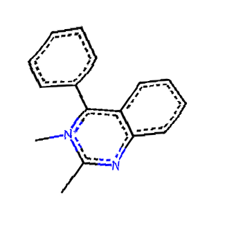 Cc1nc2ccccc2c(-c2ccccc2)[n+]1C